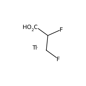 O=C(O)C(F)CF.[Tl]